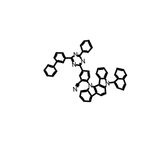 N#Cc1cc(-c2nc(-c3ccccc3)nc(-c3cccc(-c4ccccc4)c3)n2)ccc1-n1c2ccccc2c2ccc3c(c4ccccc4n3-c3cccc4ccccc34)c21